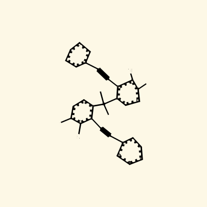 CC(C)(c1ccc(O)c(N)c1C#Cc1ccccc1)c1ccc(O)c(N)c1C#Cc1ccccc1